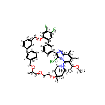 Cc1c(C(OC(C)(C)C)C(=O)O)c(N2CCC(C)(OCCOCC(C)OCc3ccccc3)CC2)n2c(Br)c(-c3cccc(-c4cc(F)c(F)cc4OCc4ccccc4)c3)nc2c1C